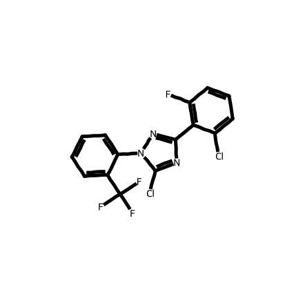 Fc1cccc(Cl)c1-c1nc(Cl)n(-c2ccccc2C(F)(F)F)n1